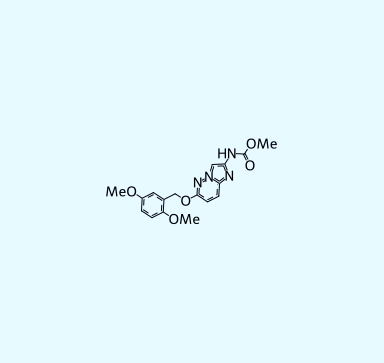 COC(=O)Nc1cn2nc(OCc3cc(OC)ccc3OC)ccc2n1